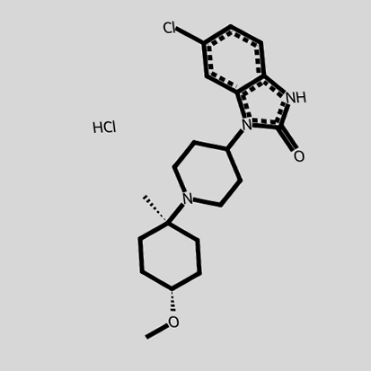 CO[C@H]1CC[C@](C)(N2CCC(n3c(=O)[nH]c4ccc(Cl)cc43)CC2)CC1.Cl